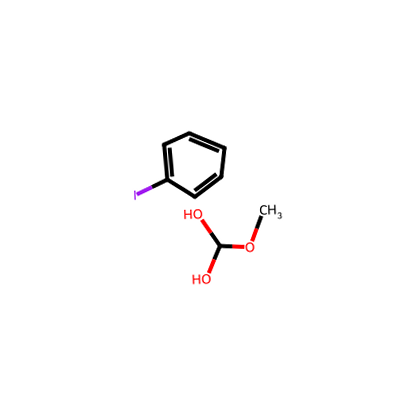 COC(O)O.Ic1ccccc1